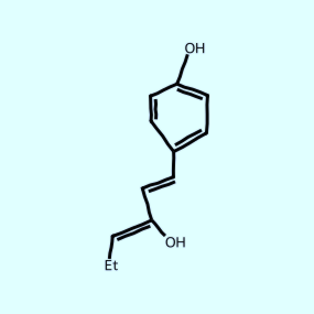 CCC=C(O)C=Cc1ccc(O)cc1